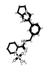 CS(=O)(=O)N1CCCCC1C(=O)NCc1cccc(-c2cn3c(n2)CCC3)c1